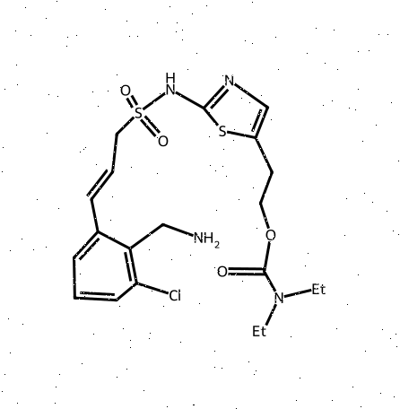 CCN(CC)C(=O)OCCc1cnc(NS(=O)(=O)CC=Cc2cccc(Cl)c2CN)s1